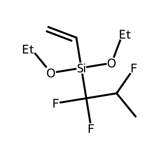 C=C[Si](OCC)(OCC)C(F)(F)C(C)F